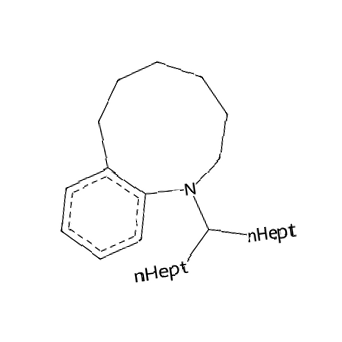 CCCCCCCC(CCCCCCC)N1CCCCCCc2ccccc21